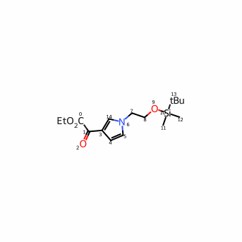 CCOC(=O)C(=O)c1ccn(CCO[Si](C)(C)C(C)(C)C)c1